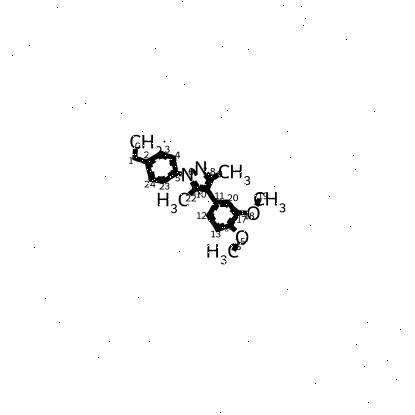 [CH2]Cc1ccc(-n2nc(C)c(-c3ccc(OC)c(OC)c3)c2C)cc1